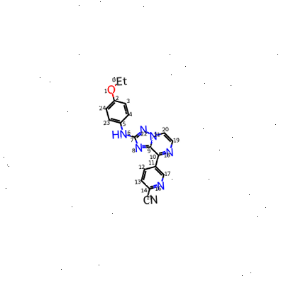 CCOc1ccc(Nc2nc3c(-c4ccc(C#N)nc4)nccn3n2)cc1